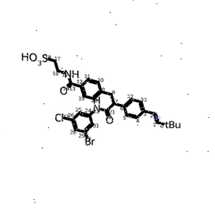 CC(C)(C)/C=C/c1ccc(C(Cc2ccc(C(=O)NCCS(=O)(=O)O)cc2)C(=O)Nc2cc(Cl)cc(Br)c2)cc1